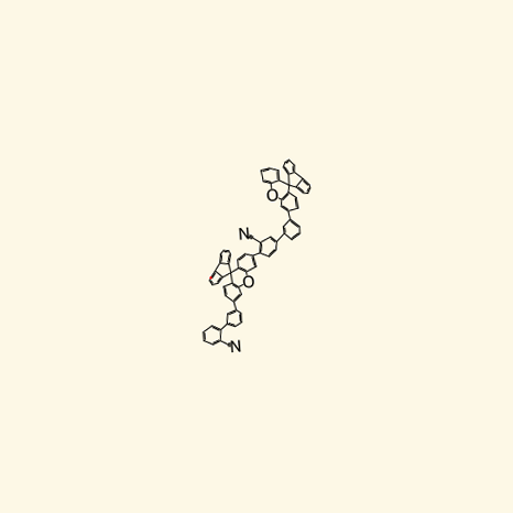 N#Cc1ccccc1-c1cccc(-c2ccc3c(c2)Oc2cc(-c4ccc(-c5cccc(-c6ccc7c(c6)Oc6ccccc6C76c7ccccc7-c7ccccc76)c5)cc4C#N)ccc2C32c3ccccc3-c3ccccc32)c1